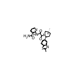 Cc1nc2cc([C@@H]3CC[C@@H](C)CN3C(=O)C(=O)Nc3ncccc3C(N)=O)ccc2s1